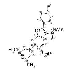 CNC(=O)c1c(-c2ccc(F)cc2)oc2cc(N3CC(C)OC(C)C3)c(OC(C)C)cc12